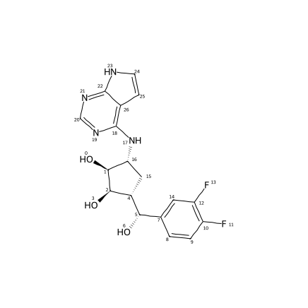 O[C@@H]1[C@H](O)[C@@H]([C@@H](O)c2ccc(F)c(F)c2)C[C@H]1Nc1ncnc2[nH]ccc12